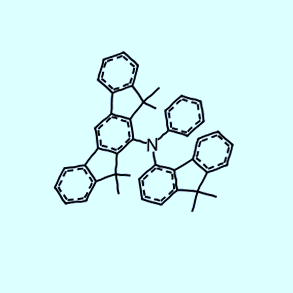 CC1(C)c2ccccc2-c2c(N(c3ccccc3)c3c4c(cc5c3C(C)(C)c3ccccc3-5)-c3ccccc3C4(C)C)cccc21